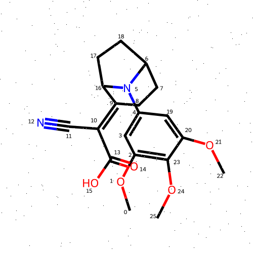 COc1cc(N2C3CCC(=C(C#N)C(=O)O)C2CC3)cc(OC)c1OC